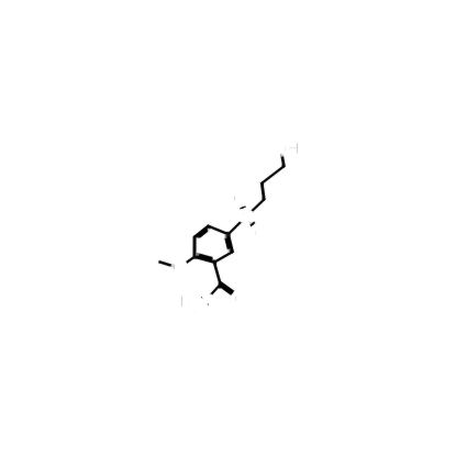 COc1ccc(S(=O)(=O)CCCO)cc1C(N)=O